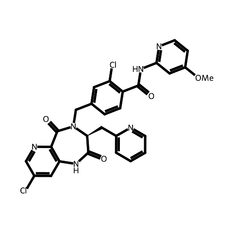 COc1ccnc(NC(=O)c2ccc(CN3C(=O)c4ncc(Cl)cc4NC(=O)[C@@H]3Cc3ccccn3)cc2Cl)c1